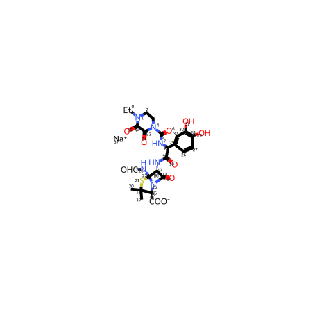 CCN1CCN(C(=O)NC(C(=O)N[C@@H]2C(=O)N3[C@@H](C(=O)[O-])C(C)(C)SC23NC=O)c2ccc(O)c(O)c2)C(=O)C1=O.[Na+]